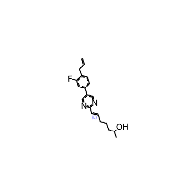 C=CCc1ccc(-c2cnc(/C=C/CCCC(C)O)nc2)cc1F